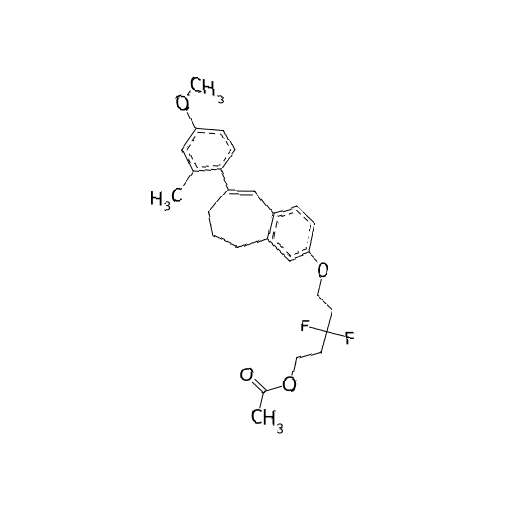 COc1ccc(C2=Cc3ccc(OCCC(F)(F)CCOC(C)=O)cc3CCC2)c(C)c1